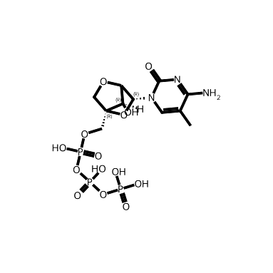 Cc1cn([C@@H]2O[C@@]3(COP(=O)(O)OP(=O)(O)OP(=O)(O)O)COC2[C@H]3O)c(=O)nc1N